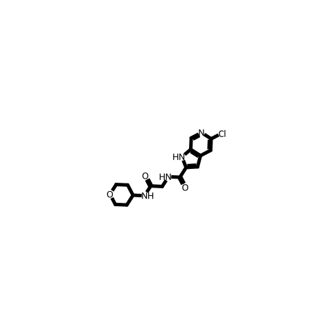 O=C(CNC(=O)c1cc2cc(Cl)ncc2[nH]1)NC1CCOCC1